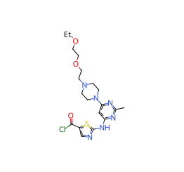 CCOCCOCCN1CCN(c2cc(Nc3ncc(C(=O)Cl)s3)nc(C)n2)CC1